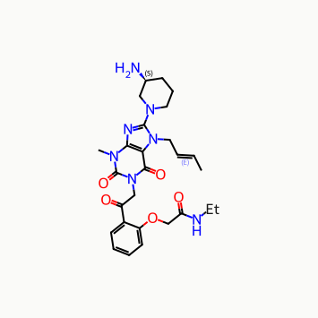 C/C=C/Cn1c(N2CCC[C@H](N)C2)nc2c1c(=O)n(CC(=O)c1ccccc1OCC(=O)NCC)c(=O)n2C